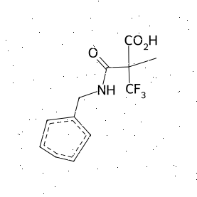 CC(C(=O)O)(C(=O)NCc1ccccc1)C(F)(F)F